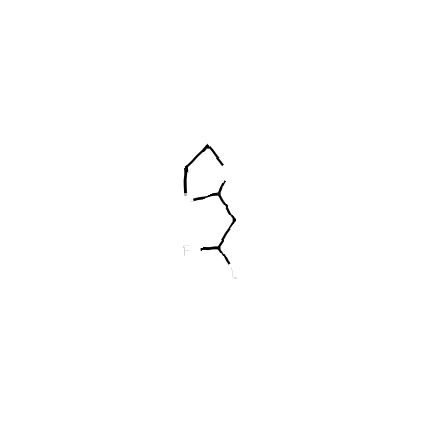 [CH2]CC(CC)CC1OCCO1